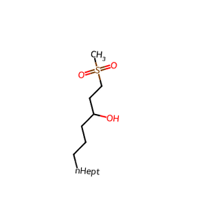 CCCCCCCCCCC(O)CCS(C)(=O)=O